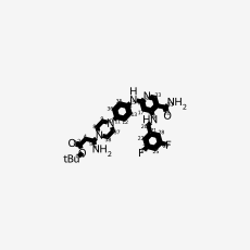 CC(C)(C)OC(=O)CC(N)N1CCN(c2ccc(Nc3cc(NCc4cc(F)cc(F)c4)c(C(N)=O)cn3)cc2)CC1